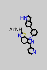 CC(=O)Nc1nc2c(s1)-c1c(c(-c3cccnc3)nn1-c1cccc(-c3ccc4[nH]ccc4c3)c1)CC2